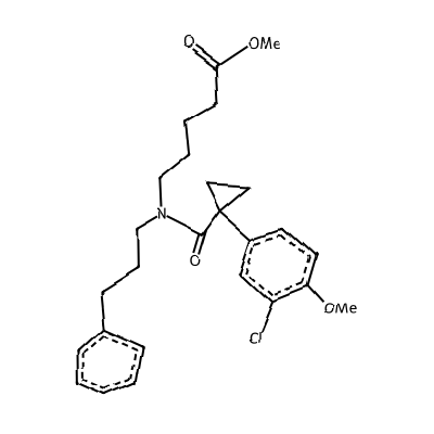 COC(=O)CCCCN(CCCc1ccccc1)C(=O)C1(c2ccc(OC)c(Cl)c2)CC1